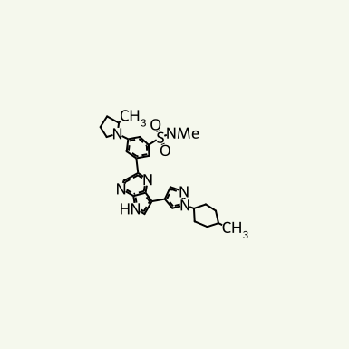 CNS(=O)(=O)c1cc(-c2cnc3[nH]cc(-c4cnn(C5CCC(C)CC5)c4)c3n2)cc(N2CCCC2C)c1